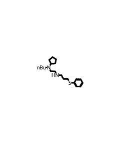 CCCCN(CCNCCCSc1ccccc1)C1CCCC1